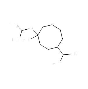 CC(C)OC1(C)CCCCC(C(C)C)CC1